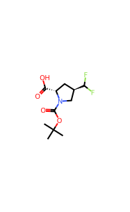 CC(C)(C)OC(=O)N1C[C@H](C(F)F)C[C@H]1C(=O)O